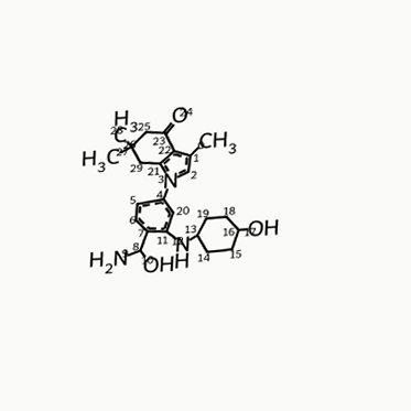 Cc1cn(-c2ccc(C(N)O)c(NC3CCC(O)CC3)c2)c2c1C(=O)CC(C)(C)C2